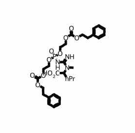 CCCC(C(=O)O)N(C)C(=N)NP(=O)(OCCOC(=O)OCCc1ccccc1)OCCOC(=O)OCCc1ccccc1